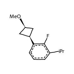 CO[C@H]1C[C@@H](c2cccc(C(C)C)c2F)C1